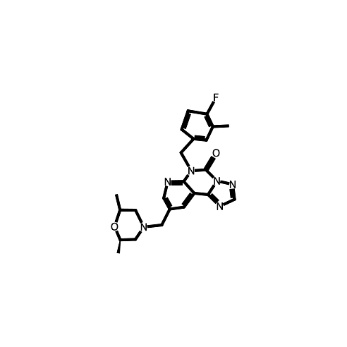 Cc1cc(Cn2c(=O)n3ncnc3c3cc(CN4CC(C)O[C@H](C)C4)cnc32)ccc1F